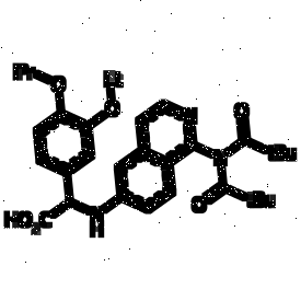 CCOc1cc(C(Nc2ccc3c(N(C(=O)C(C)(C)C)C(=O)C(C)(C)C)nccc3c2)C(=O)O)ccc1OC(C)C